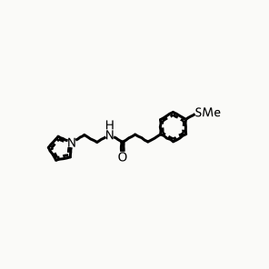 CSc1ccc(CCC(=O)NCCn2cccc2)cc1